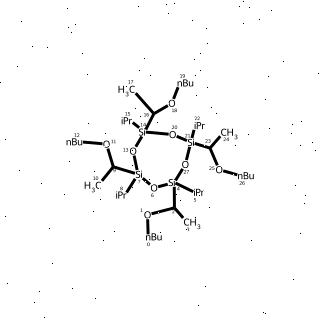 CCCCOC(C)[Si]1(C(C)C)O[Si](C(C)C)(C(C)OCCCC)O[Si](C(C)C)(C(C)OCCCC)O[Si](C(C)C)(C(C)OCCCC)O1